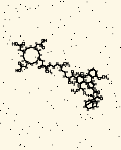 COc1cccc(OC)c1-c1cc(C(=O)NC2(C=O)C3CC4CC(C3)CC2C4)nn1-c1ccc(C(=O)N(C)CCCN(C)CCCN(C)C(=O)CN2CCN(CC(=O)O)CCN(CC(=O)O)CCN(CC(=O)O)CC2)cc1C(C)C